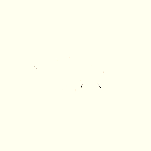 NC(=O)C1=C(O)C([C@@H]2O[C@H](CO)[C@@H](O)[C@H]2O)C=N1